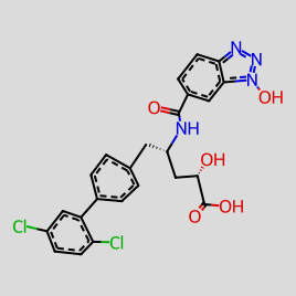 O=C(N[C@@H](Cc1ccc(-c2cc(Cl)ccc2Cl)cc1)C[C@H](O)C(=O)O)c1ccc2nnn(O)c2c1